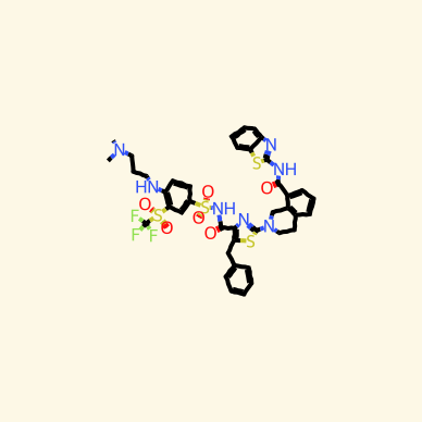 CN(C)CCCNc1ccc(S(=O)(=O)NC(=O)c2nc(N3CCc4cccc(C(=O)Nc5nc6ccccc6s5)c4C3)sc2Cc2ccccc2)cc1S(=O)(=O)C(F)(F)F